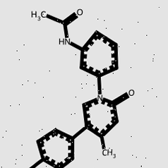 CC(=O)Nc1cccc(-n2cc(-c3ccc(F)cc3)c(C)cc2=O)c1